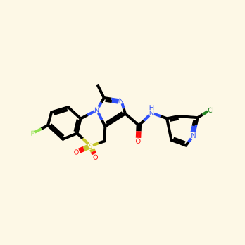 Cc1nc(C(=O)Nc2ccnc(Cl)c2)c2n1-c1ccc(F)cc1S(=O)(=O)C2